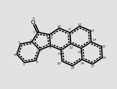 O=c1c2ccccc2c2c1cc1ccc3cccc4ccc2c1c34